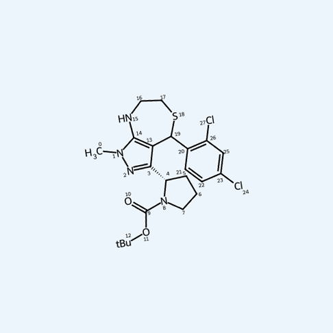 Cn1nc([C@@H]2CCCN2C(=O)OC(C)(C)C)c2c1NCCSC2c1ccc(Cl)cc1Cl